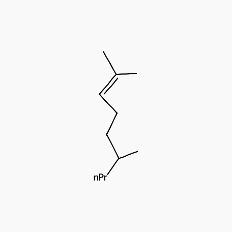 C[CH]CC(C)CCC=C(C)C